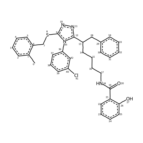 Cc1ccccc1CSc1nnc(C(CCCCNC(=O)c2ccccc2O)Cc2ccccc2)n1-c1cccc(Cl)c1